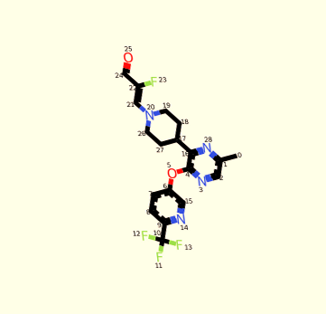 Cc1cnc(Oc2ccc(C(F)(F)F)nc2)c(C2CCN(C=C(F)C=O)CC2)n1